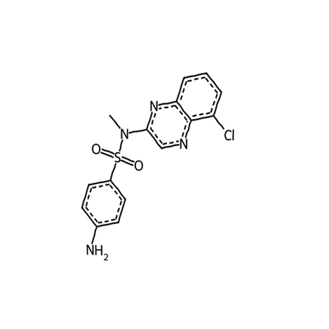 CN(c1cnc2c(Cl)cccc2n1)S(=O)(=O)c1ccc(N)cc1